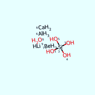 O.O[Si](O)(O)O.[AlH3].[BeH2].[CaH2].[LiH]